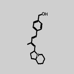 C/C(C=Cc1ccc(CO)cc1)=C\C1CCC2CCCCN12